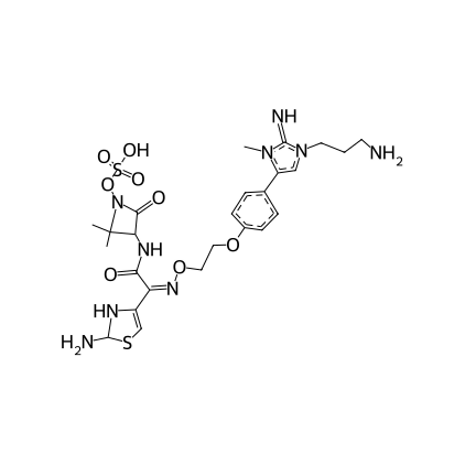 Cn1c(-c2ccc(OCCO/N=C(\C(=O)NC3C(=O)N(OS(=O)(=O)O)C3(C)C)C3=CSC(N)N3)cc2)cn(CCCN)c1=N